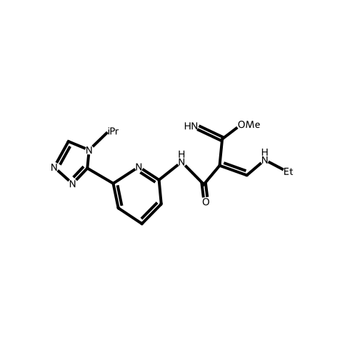 CCN/C=C(\C(=N)OC)C(=O)Nc1cccc(-c2nncn2C(C)C)n1